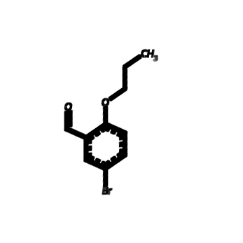 CCCOc1ccc(Br)cc1C=O